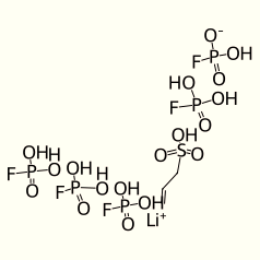 C=CCS(=O)(=O)O.O=P(O)(O)F.O=P(O)(O)F.O=P(O)(O)F.O=P(O)(O)F.O=P([O-])(O)F.[Li+]